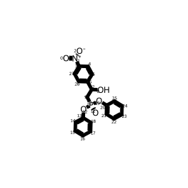 O=[N+]([O-])c1ccc(C(O)CP(=O)(Oc2ccccc2)Oc2ccccc2)cc1